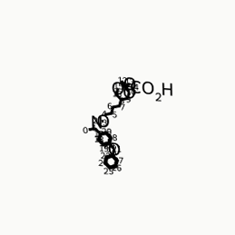 CC(=NOCCCCC1COC(C)(OC(=O)O)OC1)c1ccc(Oc2ccccc2)cc1